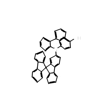 Cc1ccc(N(c2ccc3c(c2)C2(c4ccccc4-c4ccccc42)c2ccccc2-3)c2ccccc2-c2ccccc2)cc1